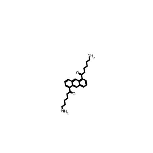 NCCCCCC(=O)c1cccc2cc3c(C(=O)CCCCCN)cccc3cc12